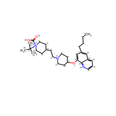 CCCCc1cc(OC2CCN(CCC3CC[N+](C(=O)[O-])(C(C)(C)C)CC3)CC2)c2ncccc2c1